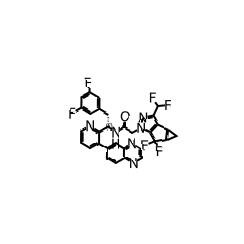 O=C(Cn1nc(C(F)F)c2c1C(F)(F)C1CC21)N[C@@H](Cc1cc(F)cc(F)c1)c1ncccc1-c1ccc2nccnc2c1